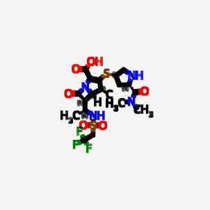 C[C@@H](NS(=O)(=O)CC(F)(F)F)[C@H]1C(=O)N2C(C(=O)O)=C(S[C@@H]3CN[C@H](C(=O)N(C)C)C3)[C@H](C)[C@H]12